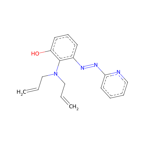 C=CCN(CC=C)c1c(O)cccc1N=Nc1ccccn1